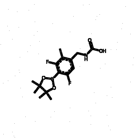 Cc1c(CNC(=O)O)cc(F)c(B2OC(C)(C)C(C)(C)O2)c1F